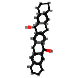 O=C1c2cc3c(cc2Cc2cc4c(cc21)Cc1cc2c(cc1C4=O)CCCC2)CCCC3